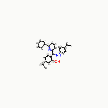 CC(C)c1ccc(NC(c2cccc(-c3ccccc3)n2)c2ccc(C(C)C)cc2O)cc1